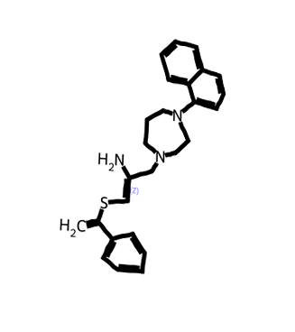 C=C(S/C=C(\N)CN1CCCN(c2cccc3ccccc23)CC1)c1ccccc1